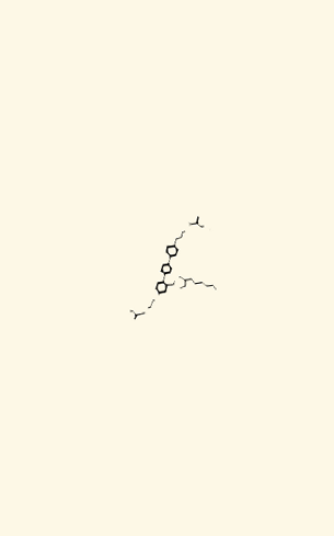 C=C(COC)C(=O)OCCCc1ccc(-c2ccc(-c3ccc(OCCOC(=O)C(=C)COC)cc3C3OCC(CCCCCC)CO3)cc2)cc1